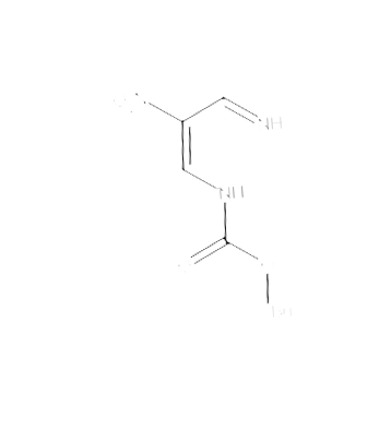 CC(C)(C)OC(=O)N/C=C(\C=N)[N+](=O)[O-]